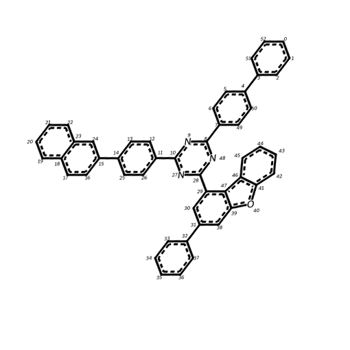 c1ccc(-c2ccc(-c3nc(-c4ccc(-c5ccc6ccccc6c5)cc4)nc(-c4cc(-c5ccccc5)cc5oc6ccccc6c45)n3)cc2)cc1